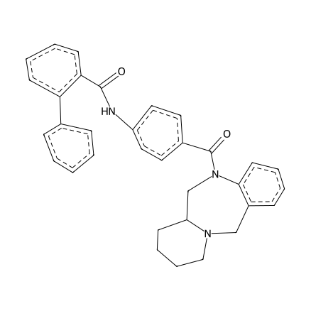 O=C(Nc1ccc(C(=O)N2CC3CCCCN3Cc3ccccc32)cc1)c1ccccc1-c1ccccc1